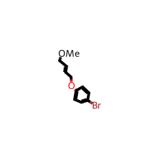 COC/C=C/COc1ccc(Br)cc1